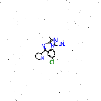 Cc1nc(CN(C)C)n2c1CN=C(c1ccccn1)c1cc(Cl)ccc1-2